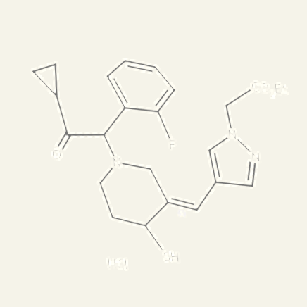 CCOC(=O)Cn1cc(/C=C2\CN(C(C(=O)C3CC3)c3ccccc3F)CCC2S)cn1.Cl